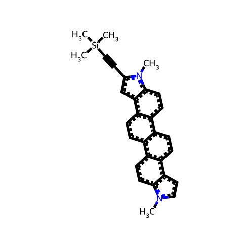 Cn1ccc2c3ccc4c(ccc5c4ccc4c5cc(C#C[Si](C)(C)C)n4C)c3ccc21